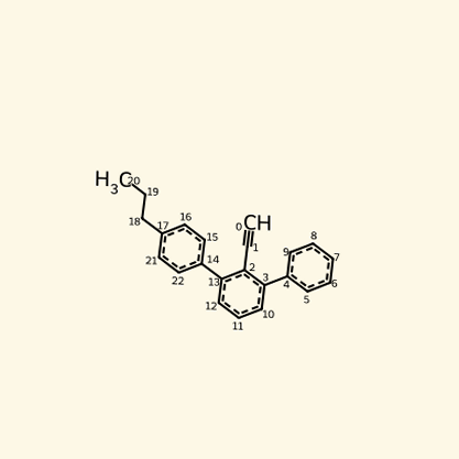 C#Cc1c(-c2ccccc2)cccc1-c1ccc(CCC)cc1